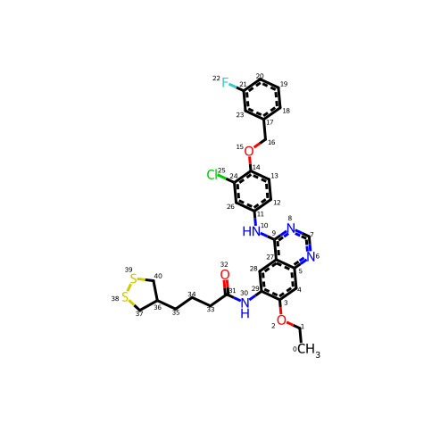 CCOc1cc2ncnc(Nc3ccc(OCc4cccc(F)c4)c(Cl)c3)c2cc1NC(=O)CCCC1CSSC1